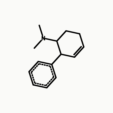 CN(C)C1CCC=CC1c1ccccc1